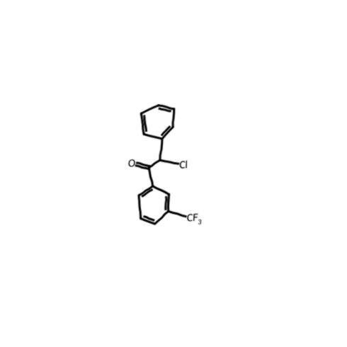 O=C(c1cccc(C(F)(F)F)c1)C(Cl)c1ccccc1